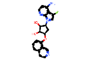 Nc1ccnc2c1c(F)cn2C1CC(Oc2cccc3ccncc23)C(O)C1O